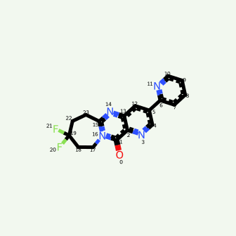 O=c1c2ncc(-c3ccccn3)cc2nc2n1CCC(F)(F)CC2